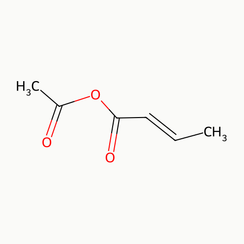 CC=CC(=O)OC(C)=O